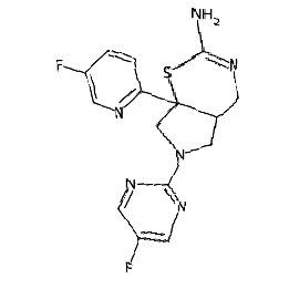 NC1=NCC2CN(c3ncc(F)cn3)CC2(c2ccc(F)cn2)S1